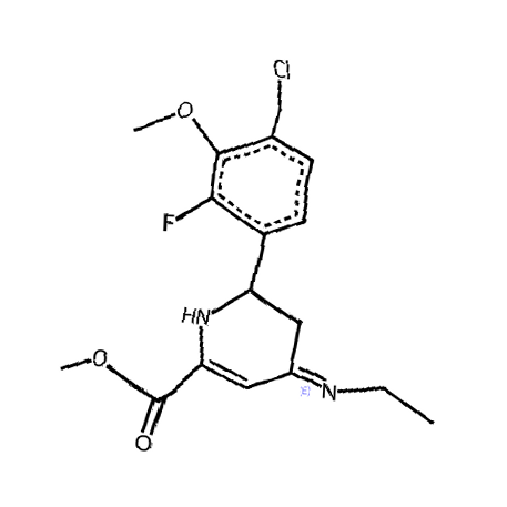 CC/N=C1/C=C(C(=O)OC)NC(c2ccc(Cl)c(OC)c2F)C1